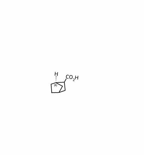 O=C(O)C1CC2CC[C@@H]1C2